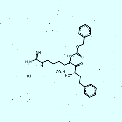 Cl.N=C(N)NCCC[C@@H](C(=O)O)N(NC(=O)OCc1ccccc1)C(=O)[C@@H](O)CCc1ccccc1